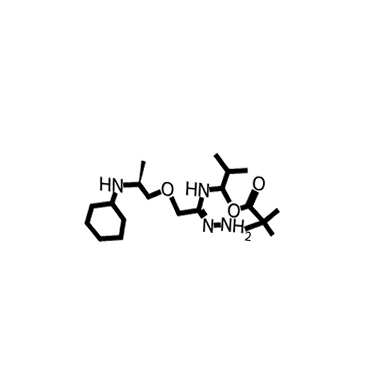 CC(C)C(N/C(COC[C@H](C)NC1CCCCC1)=N\N)OC(=O)C(C)(C)C